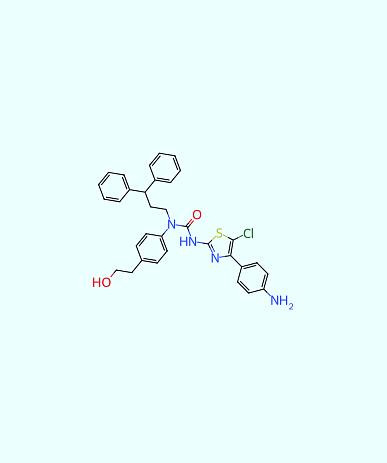 Nc1ccc(-c2nc(NC(=O)N(CCC(c3ccccc3)c3ccccc3)c3ccc(CCO)cc3)sc2Cl)cc1